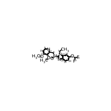 CCn1c([S+]([O-])Cc2nccc(OC)c2OC)nc2ccc(OC(F)F)cc21